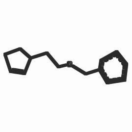 C1=CC(CCOCc2ccccc2)CC1